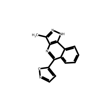 Cc1n[nH]c2c1nc(-c1ccno1)c1ccccc12